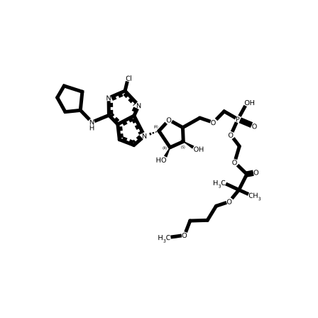 COCCCOC(C)(C)C(=O)OCOP(=O)(O)COCC1O[C@@H](n2ccc3c(NC4CCCC4)nc(Cl)nc32)[C@H](O)[C@@H]1O